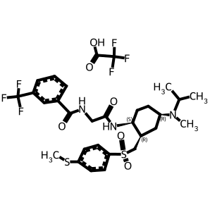 CSc1ccc(S(=O)(=O)C[C@@H]2C[C@H](N(C)C(C)C)CC[C@@H]2NC(=O)CNC(=O)c2cccc(C(F)(F)F)c2)cc1.O=C(O)C(F)(F)F